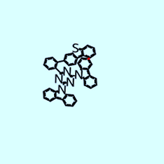 c1ccc(-c2nc(-n3c4ccccc4c4ccccc43)nc(-n3c4ccccc4c4ccccc43)n2)c(-c2ccc3c(c2)sc2ccccc23)c1